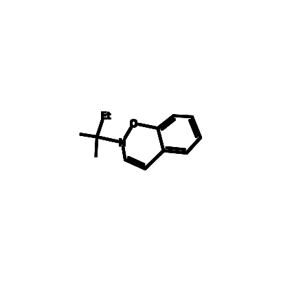 CCC(C)(C)N1C=Cc2ccccc2O1